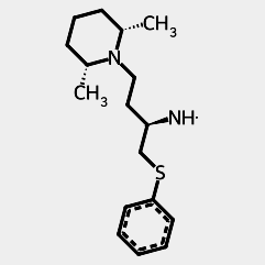 C[C@@H]1CCC[C@H](C)N1CC[C@@H]([NH])CSc1ccccc1